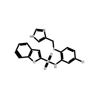 O=S(=O)(Nc1cc(Cl)ccc1SCc1c[nH]cn1)c1cc2ccc#cc2o1